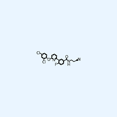 N#CCCNC(=O)c1ccc(F)c(-c2cccc(Oc3ccc(Cl)cc3Cl)n2)c1